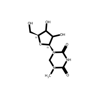 CN1CN([C@H]2O[C@@H](CO)C(O)C2O)C(=O)NC1=O